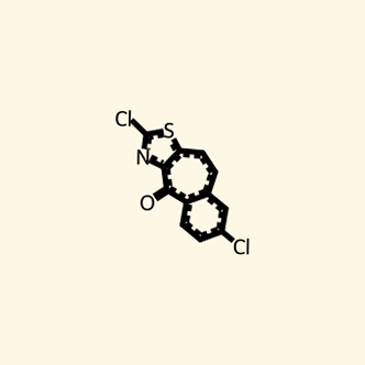 O=c1c2ccc(Cl)cc2ccc2sc(Cl)nc12